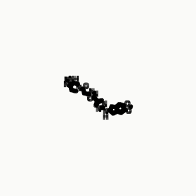 O=C(Cc1nnc(-c2cnc(NC3Cc4cc5c(cc4C3)OCO5)nc2)o1)N1CCc2nn[nH]c2C1